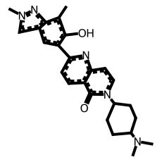 Cc1c(O)c(-c2ccc3c(=O)n(C4CCC(N(C)C)CC4)ccc3n2)cc2cn(C)nc12